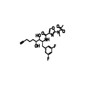 C#CCCCC(O)C(O)C(Cc1cc(F)cc(F)c1)NC(=O)c1coc(N(C)S(C)(=O)=O)n1